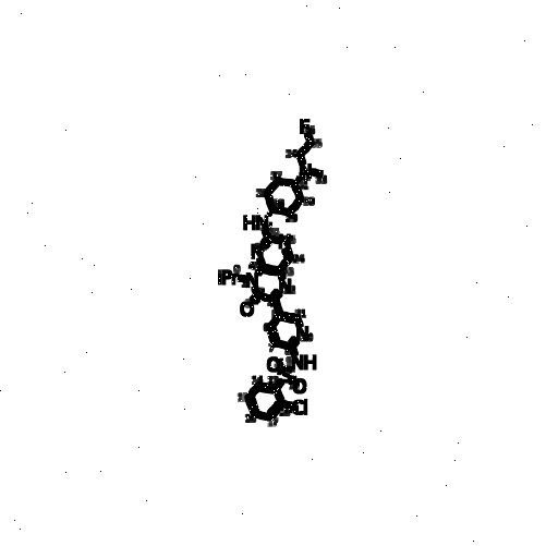 CC(C)n1c(=O)c(-c2ccc(NS(=O)(=O)c3ccccc3Cl)nc2)nc2cnc(N[C@H]3CC[C@H](N(C)CCF)CC3)nc21